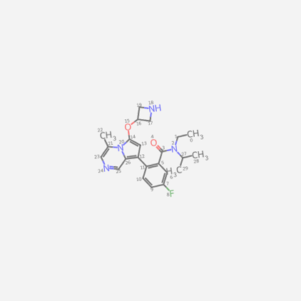 CCN(C(=O)c1cc(F)ccc1-c1cc(OC2CNC2)n2c(C)cncc12)C(C)C